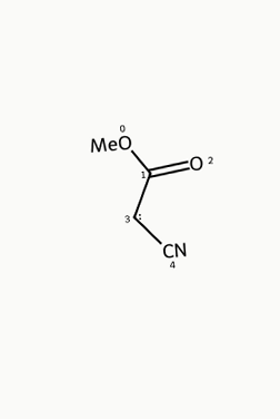 COC(=O)[C]C#N